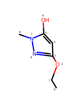 CCOc1cc(O)n(C)n1